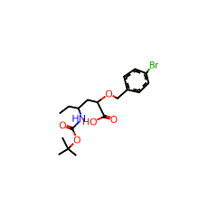 CCC(CC(OCc1ccc(Br)cc1)C(=O)O)NC(=O)OC(C)(C)C